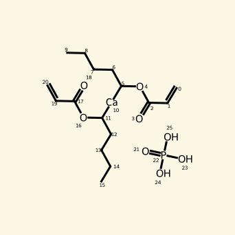 C=CC(=O)O[CH](CCCC)[Ca][CH](CCCC)OC(=O)C=C.O=P(O)(O)O